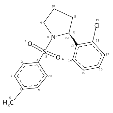 Cc1ccc(S(=O)(=O)N2CCC[C@H]2c2ccccc2Cl)cc1